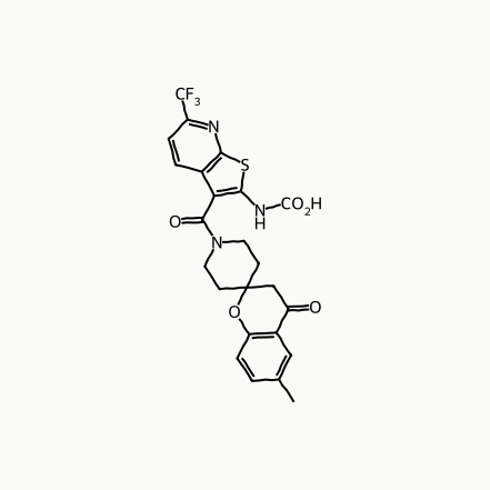 Cc1ccc2c(c1)C(=O)CC1(CCN(C(=O)c3c(NC(=O)O)sc4nc(C(F)(F)F)ccc34)CC1)O2